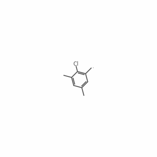 [CH2]c1cc(C)cc(C)c1Cl